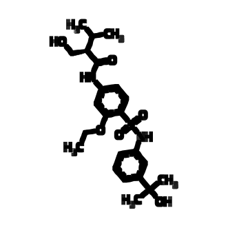 CCOc1cc(NC(=O)[C@@H](CO)C(C)C)ccc1S(=O)(=O)Nc1cccc(C(C)(C)O)c1